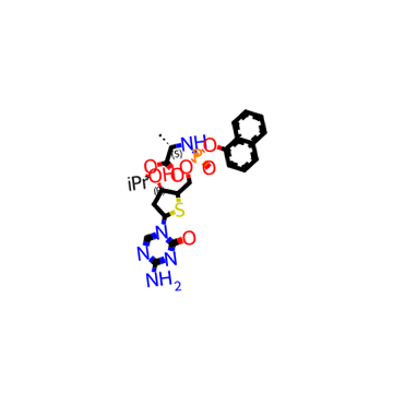 CC(C)OC(=O)[C@H](C)NP(=O)(OCC1SC(n2cnc(N)nc2=O)C[C@H]1O)Oc1cccc2ccccc12